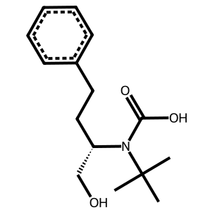 CC(C)(C)N(C(=O)O)[C@H](CO)CCc1ccccc1